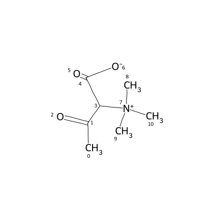 CC(=O)C(C(=O)[O-])[N+](C)(C)C